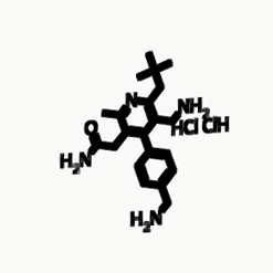 Cc1nc(CC(C)(C)C)c(CN)c(-c2ccc(CN)cc2)c1CC(N)=O.Cl.Cl